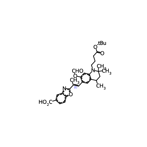 C/C(=C\c1cc2c(cc1OC=O)N(CCCC(=O)OC(C)(C)C)C(C)(C)CC2C)c1nc2cc(C(=O)O)ccc2o1